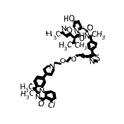 Cc1cc(C(C(=O)N2C[C@H](O)C[C@H]2C(=O)N[C@@H](C)c2ccc(-c3scnc3C#CCOCCOCCN3CCC(c4ccc5c(c4)-n4c(nc(=O)c6c(Cl)cccc64)C5(C)C)CC3)cc2)C(C)C)on1